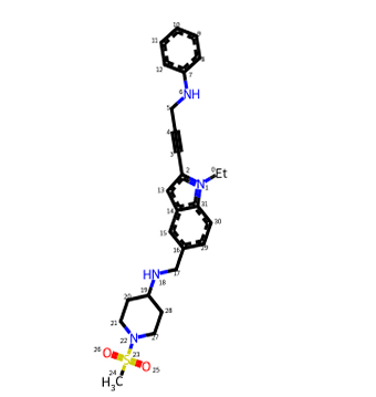 CCn1c(C#CCNc2ccccc2)cc2cc(CNC3CCN(S(C)(=O)=O)CC3)ccc21